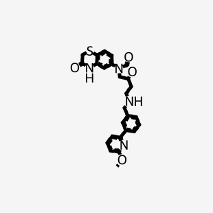 COc1cccc(-c2cccc(CNCCC3CN(c4ccc5c(c4)NC(=O)CS5)C(=O)O3)c2)n1